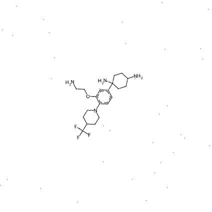 NCCOc1cc(C2(N)CCC(N)CC2)ccc1N1CCC(C(F)(F)F)CC1